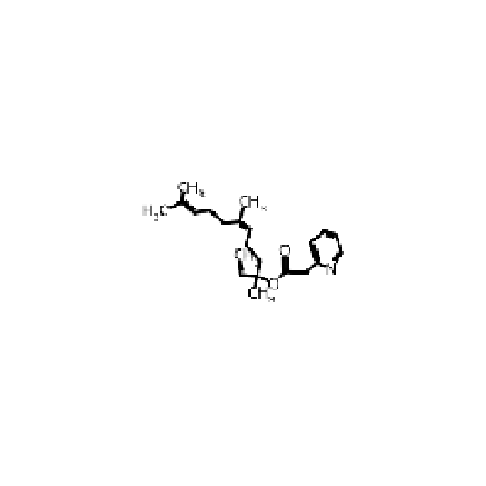 C=CC(C)(CCC=C(C)CCC=C(C)C)OC(=O)Cc1ccccn1